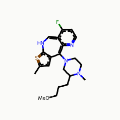 COCCCC1CN(C2=c3nccc(F)c3=CNc3sc(C)cc32)CCN1C